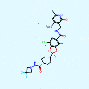 CSc1cc(C)[nH]c(=O)c1CNC(=O)c1cc(Cl)c2c(c1C)O[C@@](C)([C@H]1CC[C@@H](C(=O)NN3CC(F)(F)C3)CC1)O2